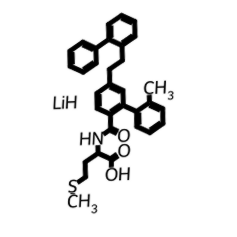 CSCCC(NC(=O)c1ccc(CCc2ccccc2-c2ccccc2)cc1-c1ccccc1C)C(=O)O.[LiH]